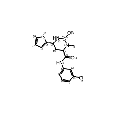 CN1C(C(=O)Nc2cccc(Cl)c2)CC(c2cccs2)N[S+]1[O-]